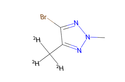 [2H]C([2H])([2H])c1nn(C)nc1Br